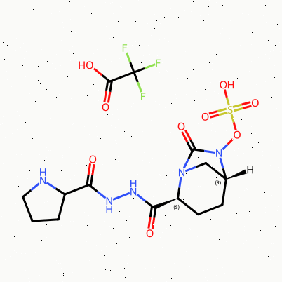 O=C(NNC(=O)[C@@H]1CC[C@@H]2CN1C(=O)N2OS(=O)(=O)O)C1CCCN1.O=C(O)C(F)(F)F